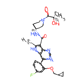 Cc1[nH]c2c(-c3ccc(F)cc3OCC3CC3)ncnc2c1C(=O)N[C@@H]1CCN(C(=O)[C@H](C)O)C1